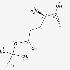 CC(C)(C)OC(O)CC[C@@H](N)C(=O)O